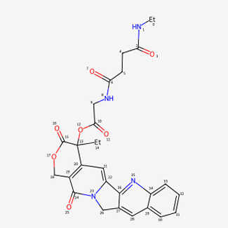 CCNC(=O)CCC(=O)NCC(=O)OC1(CC)C(=O)OCc2c1cc1n(c2=O)Cc2cc3ccccc3nc2-1